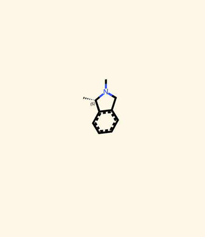 C[C@H]1c2ccccc2CN1C